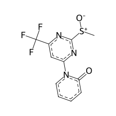 C[S+]([O-])c1nc(-n2ccccc2=O)cc(C(F)(F)F)n1